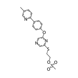 Cc1ccc(-c2ccc(Oc3cncc(SCCOS(C)(=O)=O)n3)cc2)nc1